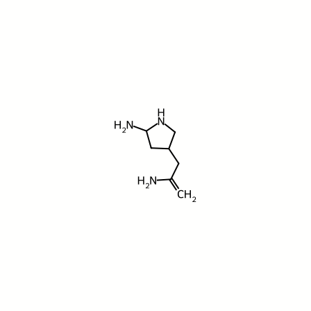 C=C(N)CC1CNC(N)C1